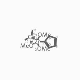 C[O][Zr]([O]C)([O]C)([C]1=CC=CC1)[GeH]([CH3])[CH3]